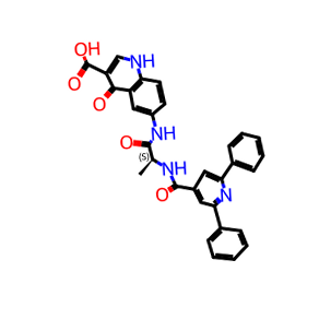 C[C@H](NC(=O)c1cc(-c2ccccc2)nc(-c2ccccc2)c1)C(=O)Nc1ccc2[nH]cc(C(=O)O)c(=O)c2c1